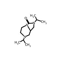 CC(C)N1CCN2C(=O)N(C(C)C)CC2C1